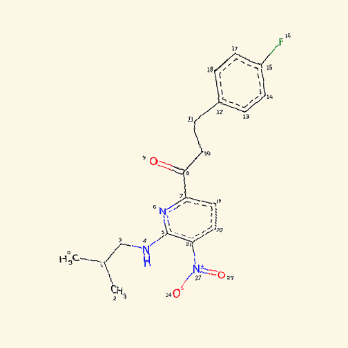 CC(C)CNc1nc(C(=O)CCc2ccc(F)cc2)ccc1[N+](=O)[O-]